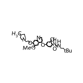 COc1cc2c(Oc3ccc(NC(=O)NCCC(C)(C)C)c(Cl)c3)ccnc2cc1OCCN1CCC(C)CC1